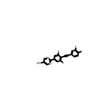 CCCc1cnc(-c2cc(F)c(C#Cc3ccc(F)c(F)c3)c(F)c2)nc1